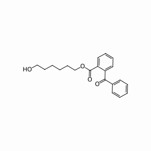 O=C(OCCCCCCO)c1ccccc1C(=O)c1ccccc1